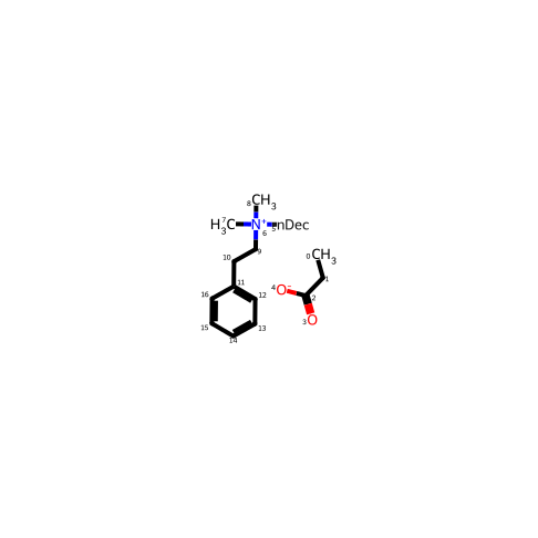 CCC(=O)[O-].CCCCCCCCCC[N+](C)(C)CCc1ccccc1